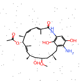 CO[C@@H]1C[C@H](C)Cc2c(N)c(O)cc(c2O)NC(=O)/C(C)=C/C=C\[C@H](C)[C@@H](OC(C)=O)/C(C)=C/[C@H](C)[C@H]1O